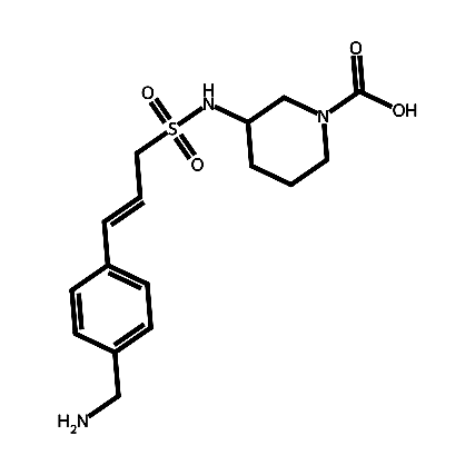 NCc1ccc(C=CCS(=O)(=O)NC2CCCN(C(=O)O)C2)cc1